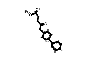 CC(C)OC(=O)CCC(=O)Cc1ccc(-c2ccccc2)cc1